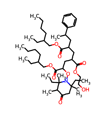 CCCCC(CC)COC(=O)C(CC(CC(ON1C(C)(CC)CC(=O)C(C)C1(C)CC)C(=O)OCC(CC)CCCC)C(=O)OCCO)CC(C)c1ccccc1